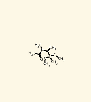 CO[Si](C)(OC)C(C)N(C)C(C)=O